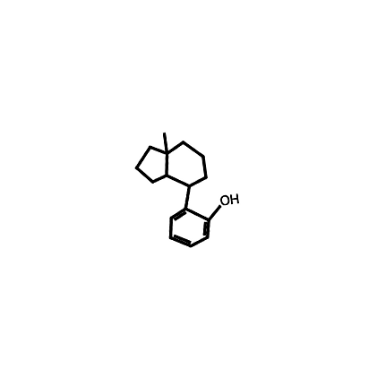 CC12CCCC(c3ccccc3O)C1CCC2